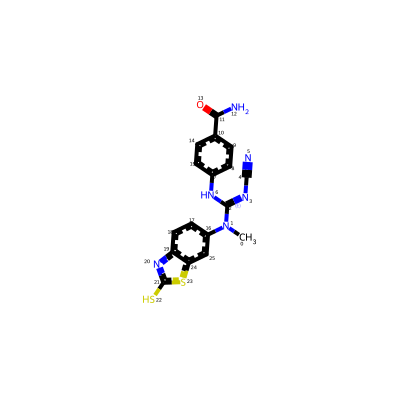 CN(/C(=N/C#N)Nc1ccc(C(N)=O)cc1)c1ccc2nc(S)sc2c1